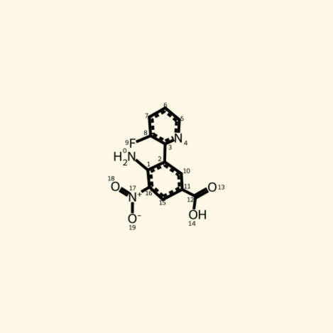 Nc1c(-c2ncccc2F)cc(C(=O)O)cc1[N+](=O)[O-]